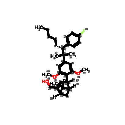 CCCCC[C@H](c1ccc(F)cc1)C(C)(C)c1cc(OC)c([C@H]2C=C(CO)[C@H]3C[C@@H]2C3(C)C)c(OC)c1